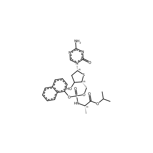 CC(C)OC(=O)[C@H](C)NP(=O)(OC[C@H]1S[C@@H](n2cnc(N)nc2=O)CC1O)Oc1cccc2ccccc12